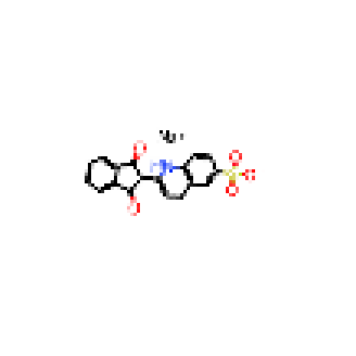 O=C1c2ccccc2C(=O)C1C1=CCc2cc(S(=O)(=O)[O-])ccc2N1.[Na+]